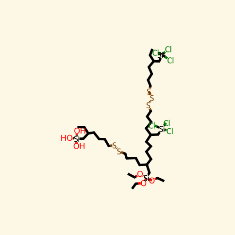 CCO[Si](CC(CCCCSSCCCCC(CC)C[Si](O)(O)O)CCCCC(CCCCSSSCCCCC(CC)C[Si](Cl)(Cl)Cl)C[Si](Cl)(Cl)Cl)(OCC)OCC